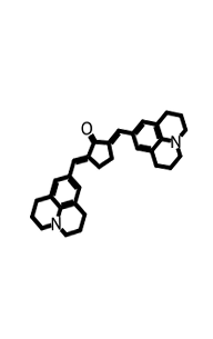 O=C1C(=Cc2cc3c4c(c2)CCCN4CCC3)CCC1=Cc1cc2c3c(c1)CCCN3CCC2